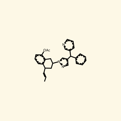 CC=CC1CC(n2cc(C(c3ccccc3)c3cccnc3)cn2)Cc2c(OC(C)=O)cccc21